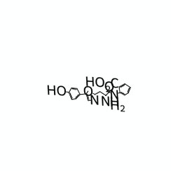 N[C@@H](Cc1ncc(-c2ccc(O)cc2)o1)C(=O)Nc1ccccc1C(=O)O